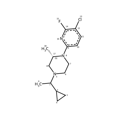 CC(C1CC1)N1CCN(c2ccc(Cl)c(F)n2)[C@@H](C)C1